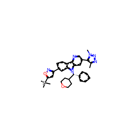 Cc1nnn(C)c1-c1cnc2c3ccc(-c4cc([Si](C)(C)C)on4)cc3n([C@H](c3ccccc3)C3CCOCC3)c2c1